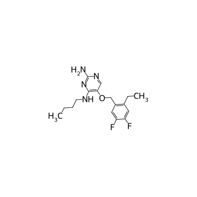 CCCCNc1nc(N)ncc1OCc1cc(F)c(F)cc1CC